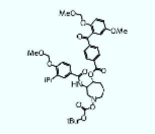 COCOc1ccc(OC)cc1C(=O)c1ccc(C(=O)O[C@@H]2CCCN(OC(=O)OC(C)(C)C)C[C@H]2NC(=O)c2ccc(OCOC)c(C(C)C)c2)cc1